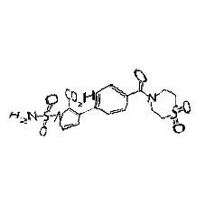 NS(=O)(=O)n1ccc(-c2ccc(C(=O)N3CCS(=O)(=O)CC3)cc2)c1C(=O)O